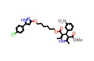 COC(=O)C1=C(C)NC(C)=C(C(=O)OCCCCCCOc2cc(-c3ccc(Cl)cc3)[nH]n2)C1c1cccc([N+](=O)[O-])c1